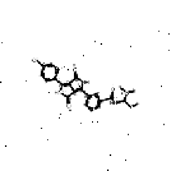 CCC(NC(=O)c1cccc(C2=C3C(=O)NC(c4ccc(Cl)cc4)=C3C(=O)N2)c1)N(C)C